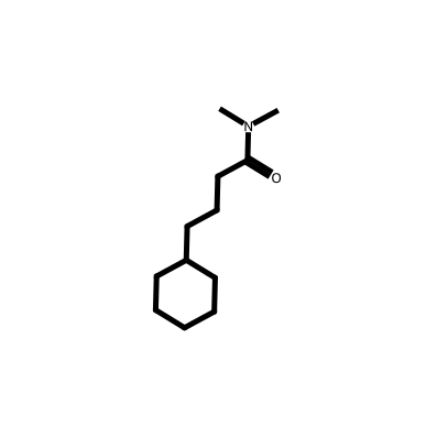 CN(C)C(=O)CCCC1CCCCC1